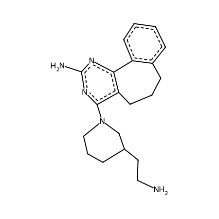 NCCC1CCCN(c2nc(N)nc3c2CCCc2ccccc2-3)C1